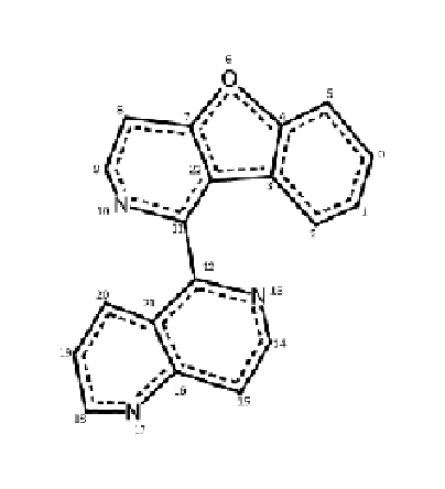 c1ccc2c(c1)oc1ccnc(-c3nccc4ncccc34)c12